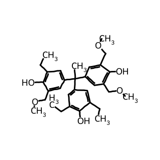 CCc1cc(C(C)(c2cc(CC)c(O)c(COC)c2)c2cc(COC)c(O)c(COC)c2)cc(CC)c1O